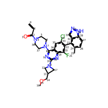 C=CC(=O)N1CCN(c2nc(N3CC(COC)C3)nc3c(F)c(-c4c(C)ccc5[nH]ncc45)c(Cl)cc23)CC1